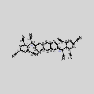 N#C/C(c1c(C#N)nc(C#N)nc1C#N)=c1/cnc2cc3c/c(=C(\C#N)c4c(C#N)nc(C#N)nc4C#N)cnc3cc2c1